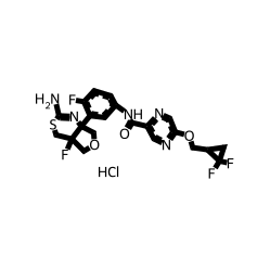 Cl.NC1=NC2(c3cc(NC(=O)c4cnc(OCC5CC5(F)F)cn4)ccc3F)COCC2(F)CS1